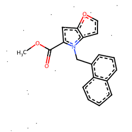 COC(=O)c1cc2occc2n1Cc1cccc2ccccc12